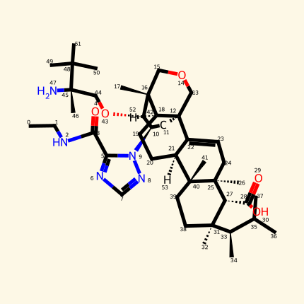 CCNC(=O)c1ncnn1[C@@H]1C[C@@]23COC[C@](C)([C@@H]2CC[C@H]2C3=CC[C@@]3(C)[C@H](C(=O)O)[C@@](C)([C@H](C)C(C)C)CC[C@]23C)[C@H]1OC[C@](C)(N)C(C)(C)C